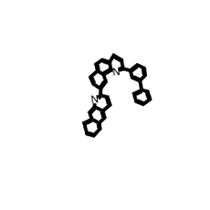 c1ccc(-c2cccc(-c3ccc4ccc5ccc(-c6ccc7cc8ccccc8cc7n6)cc5c4n3)c2)cc1